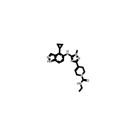 CCNC(=O)N1CC=C(c2nc(Nc3ccc4[nH]ncc4c3C3CC3)n(C)n2)CC1